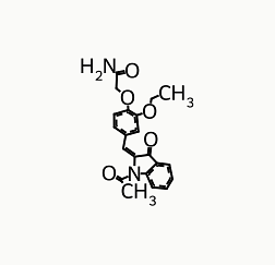 CCOc1cc(C=C2C(=O)c3ccccc3N2C(C)=O)ccc1OCC(N)=O